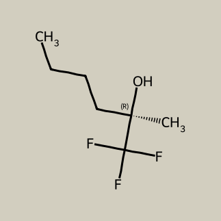 CCCC[C@@](C)(O)C(F)(F)F